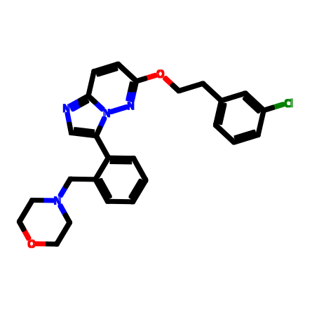 Clc1cccc(CCOc2ccc3ncc(-c4ccccc4CN4CCOCC4)n3n2)c1